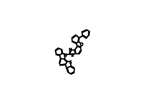 c1ccc(-c2cccc3c2oc2ccc4sc(-n5c6ccccc6c6ccc7c8ccccc8sc7c65)nc4c23)cc1